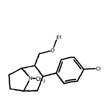 CCOCC1C(c2ccc(Cl)cc2)CC2CCC1N2C